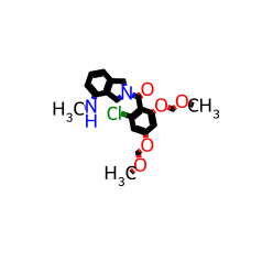 CNc1cccc2c1CN(C(=O)c1c(Cl)cc(OCOC)cc1OCOC)C2